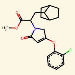 COC(=O)C(CC1C2CCC1CC2)N1CC(Oc2ccccc2Cl)=CC1=O